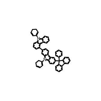 C1=CCCC(n2c3ccc(C4(c5ccccc5)c5ccccc5-c5ccccc54)cc3c3ccc(-c4cccc5c4c4ccccc4n5C4=CCCC=C4)cc32)=C1